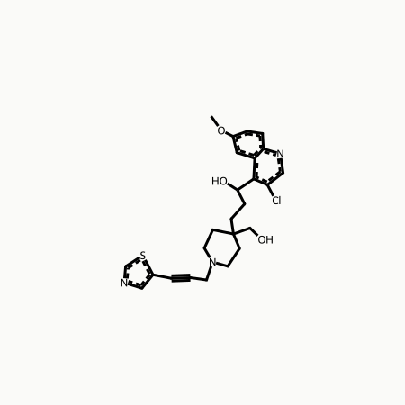 COc1ccc2ncc(Cl)c(C(O)CCC3(CO)CCN(CC#Cc4cncs4)CC3)c2c1